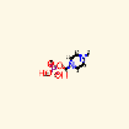 CN1CCN(COP(=O)(O)O)CC1